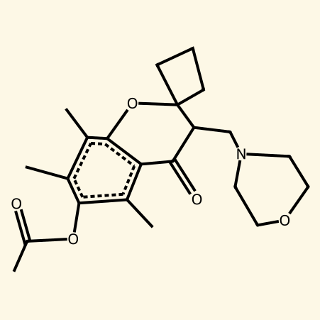 CC(=O)Oc1c(C)c(C)c2c(c1C)C(=O)C(CN1CCOCC1)C1(CCC1)O2